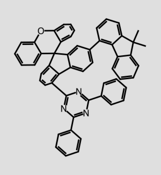 CC1(C)c2ccccc2-c2c(-c3ccc4c(c3)C3(c5ccccc5Oc5ccccc53)c3cccc(-c5nc(-c6ccccc6)nc(-c6ccccc6)n5)c3-4)cccc21